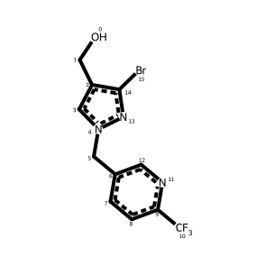 OCc1cn(Cc2ccc(C(F)(F)F)nc2)nc1Br